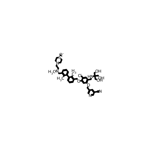 Cc1c(COc2cc(OCc3cncc(C#N)c3)c(CNC(CO)(CO)CO)cc2Cl)cccc1-c1cccc(CN(C)CCN2CC[S+]([O-])CC2)c1C